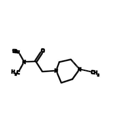 CN1CCN(CC(=O)N(C)C(C)(C)C)CC1